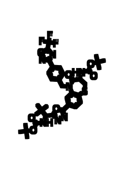 CC(C)(C)OC(=O)NC(c1nnc(-c2ccc3c(c2)N(Cc2ccc(-c4noc(C(F)(F)F)n4)cc2)C(=O)[C@@H](NC(=O)OC(C)(C)C)CS3)o1)C(C)(C)C